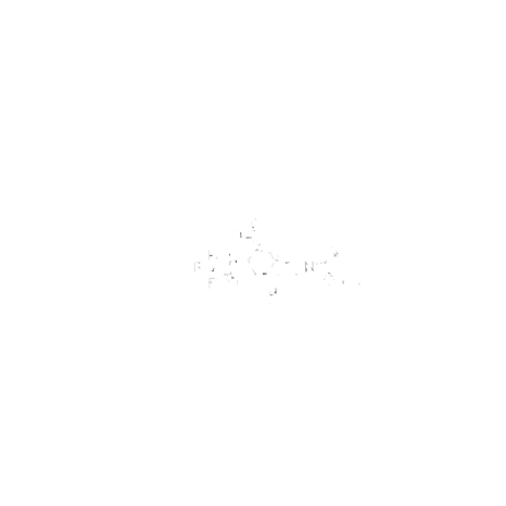 COC(=O)c1cc(C2CN(C(=O)OC(C)(C)C)C2)c(OC)cc1NC(=O)C(F)(F)F